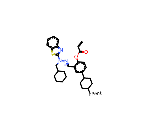 C=CC(=O)Oc1ccc(C2CCC(CCCCC)CC2)cc1/C=N/N(CC1CCCCC1)c1nc2ccccc2s1